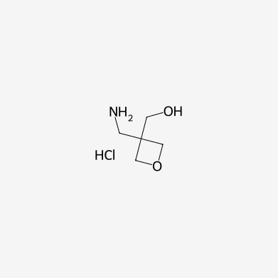 Cl.NCC1(CO)COC1